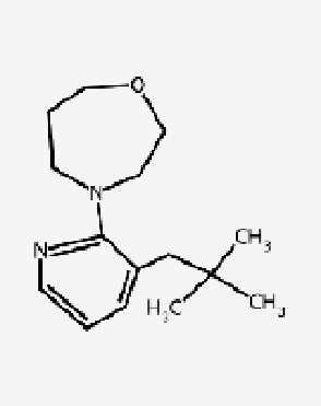 CC(C)(C)Cc1cccnc1N1CCCOCC1